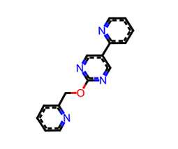 c1ccc(COc2ncc(-c3ccccn3)cn2)nc1